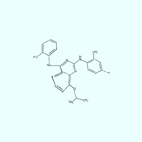 Cc1cc(F)ccc1Nc1nc(Nc2ccccc2C)c2cccc(OC(C)O)c2n1